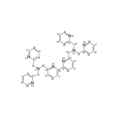 c1ccc(CN(Cc2ccccn2)Cc2cccc(-c3cccc(CN(Cc4ccccn4)Cc4ccccn4)n3)n2)nc1